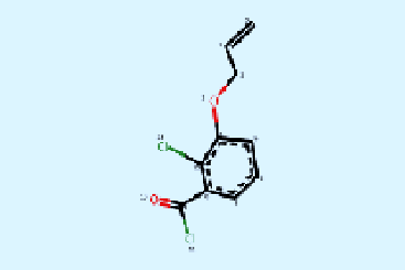 C=CCOc1cccc(C(=O)Cl)c1Cl